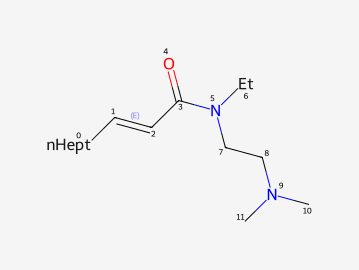 CCCCCCC/C=C/C(=O)N(CC)CCN(C)C